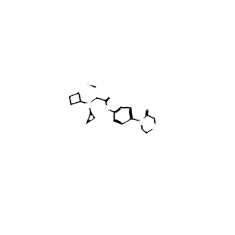 NC[C@H](C(=O)Nc1ccc(N2CCOCC2=O)cc1)N(C1CCC1)C1CC1